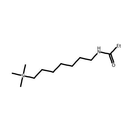 CCC(=O)NCCCCCCC[Si](C)(C)C